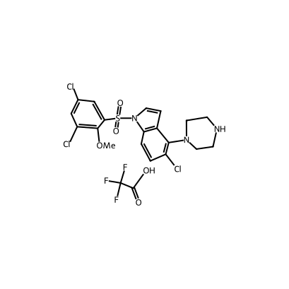 COc1c(Cl)cc(Cl)cc1S(=O)(=O)n1ccc2c(N3CCNCC3)c(Cl)ccc21.O=C(O)C(F)(F)F